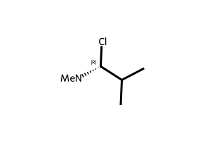 CN[C@H](Cl)C(C)C